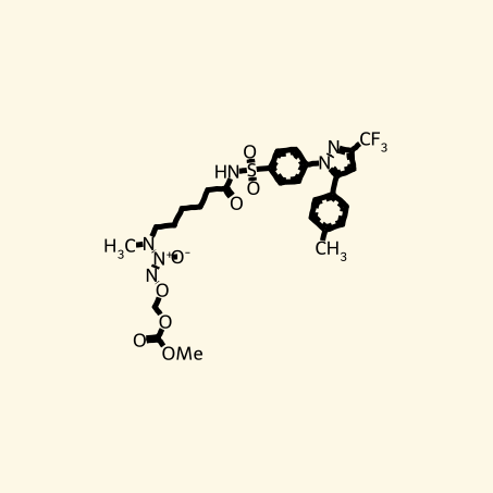 COC(=O)OCON=[N+]([O-])N(C)CCCCCC(=O)NS(=O)(=O)c1ccc(-n2nc(C(F)(F)F)cc2-c2ccc(C)cc2)cc1